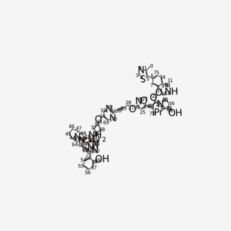 Cc1ncsc1-c1ccc([C@H](C)NC(=O)[C@@H]2C[C@@H](O)CN2C(=O)[C@H](c2cc(OCC#Cc3ncc(O[C@H]4C[C@H](Oc5cc(N6C7CCC6CN(c6cc(-c8ccccc8O)nnc6N)C7)ccn5)C4)cn3)no2)C(C)C)cc1